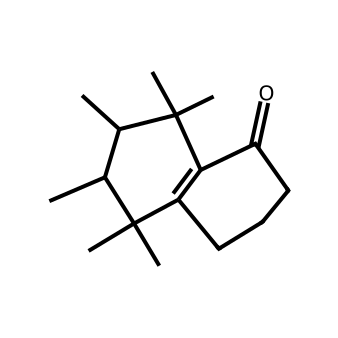 CC1C(C)C(C)(C)C2=C(CCCC2=O)C1(C)C